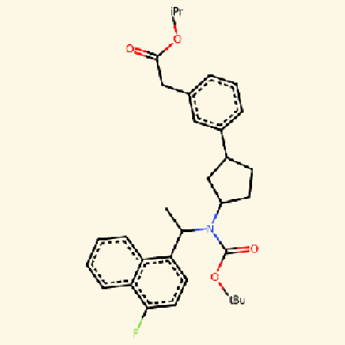 CC(C)OC(=O)Cc1cccc(C2CCC(N(C(=O)OC(C)(C)C)C(C)c3ccc(F)c4ccccc34)C2)c1